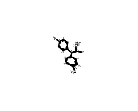 CC(Br)=C(c1ccc(F)cc1)c1ccc(F)cc1